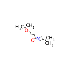 CC(C)OCCCC(=O)N1CC(C(C)C)C1